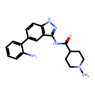 CN1CCC(C(=O)Nc2n[nH]c3ccc(-c4ccccc4N)cc23)CC1